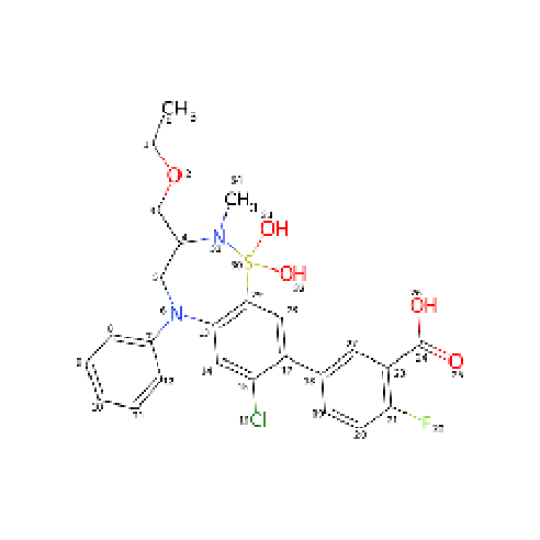 CCOCC1CN(c2ccccc2)c2cc(Cl)c(-c3ccc(F)c(C(=O)O)c3)cc2S(O)(O)N1C